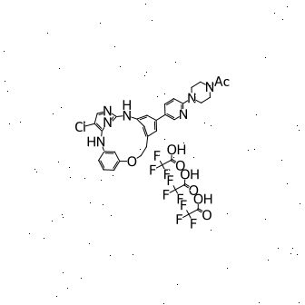 CC(=O)N1CCN(c2ccc(-c3cc4cc(c3)Nc3ncc(Cl)c(n3)Nc3cccc(c3)OCC4)cn2)CC1.O=C(O)C(F)(F)F.O=C(O)C(F)(F)F.O=C(O)C(F)(F)F